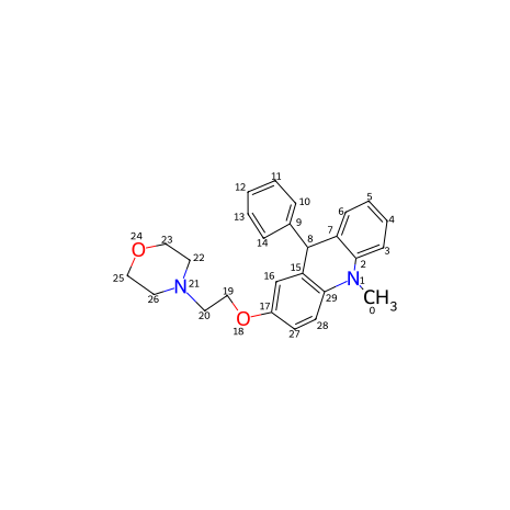 CN1c2ccccc2C(c2ccccc2)c2cc(OCCN3CCOCC3)ccc21